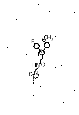 COc1cccc(-c2cc(CCC(=O)NCCN3CCNC3=O)nn2-c2ccc(F)cc2)c1